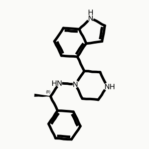 C[C@@H](NN1CCNCC1c1cccc2[nH]ccc12)c1ccccc1